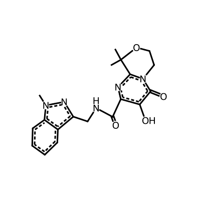 Cn1nc(CNC(=O)c2nc3n(c(=O)c2O)CCOC3(C)C)c2ccccc21